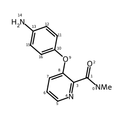 CNC(=O)c1ncccc1Oc1ccc(N)cc1